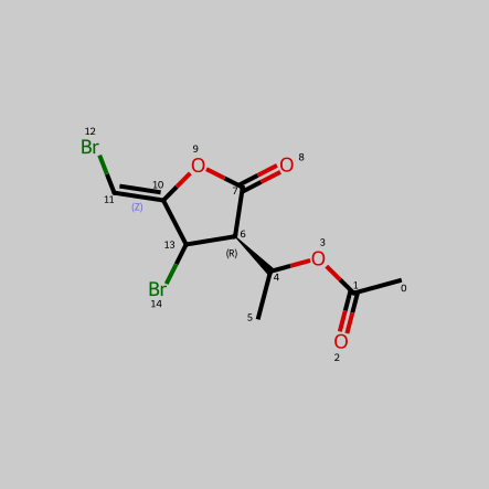 CC(=O)OC(C)[C@@H]1C(=O)O/C(=C\Br)C1Br